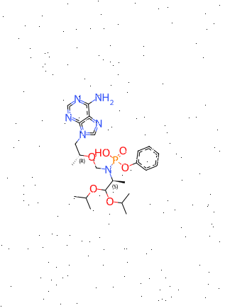 CC(C)OC(OC(C)C)[C@H](C)N(CO[C@H](C)Cn1cnc2c(N)ncnc21)P(=O)(O)Oc1ccccc1